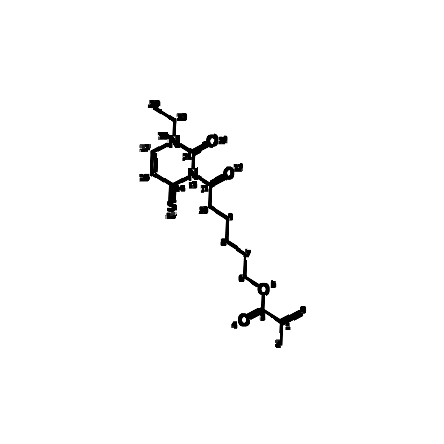 C=C(C)C(=O)OCCCCCC(=O)n1c(=S)ccn(CC)c1=O